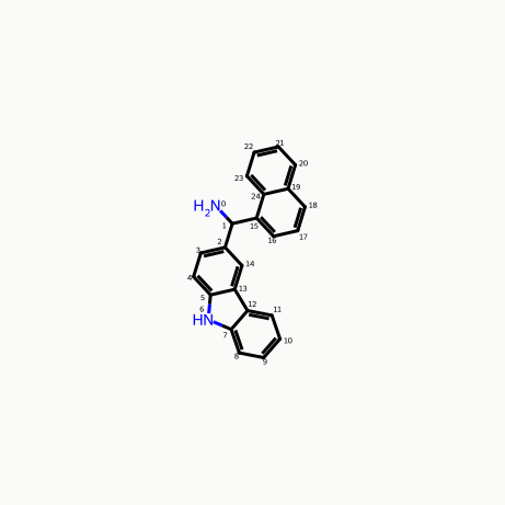 NC(c1ccc2[nH]c3ccccc3c2c1)c1cccc2ccccc12